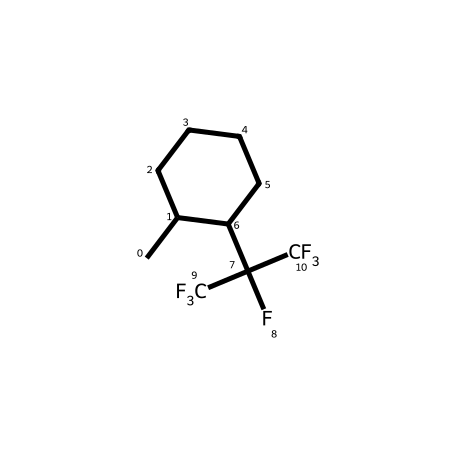 CC1CCCCC1C(F)(C(F)(F)F)C(F)(F)F